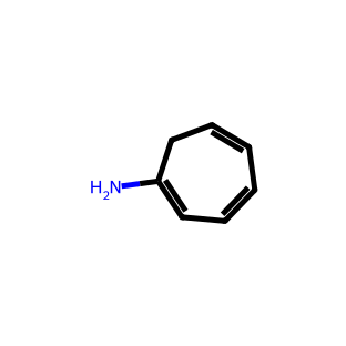 NC1=CC=CC=CC1